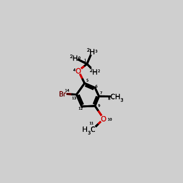 [2H]C([2H])([2H])Oc1cc(C)c(OC)cc1Br